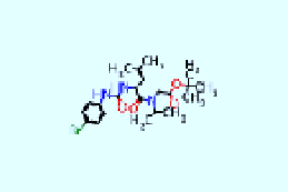 CC(C)C[C@H](NC(=O)Nc1ccc(Br)cc1)C(=O)N(CC(=O)OC(C)(C)C)C(C)C